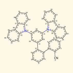 N#Cc1ccccc1-c1ccccc1-c1cc(-n2c3ccccc3c3ccccc32)cc(-n2c3ccccc3c3ccccc32)c1